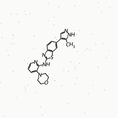 Cc1[nH]ncc1-c1ccc2nc(Nc3ncccc3N3CCOCC3)sc2c1